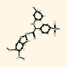 COc1cc2nc(NC(=O)C(Nc3cccc(C)c3)c3ccc(S(C)(=O)=O)cc3)sc2cc1OC